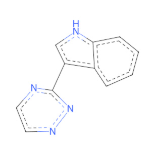 c1ccc2c(-c3nccnn3)c[nH]c2c1